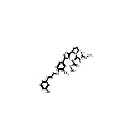 CC(C)(C)OC(=O)N=C(NC(=O)OC(C)(C)C)N1CCCC1c1nc(-c2ccc(OC/C=C/c3cccc(Br)c3)c(C(F)(F)F)c2)no1